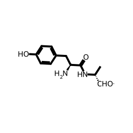 C[C@H]([C]=O)NC(=O)[C@@H](N)Cc1ccc(O)cc1